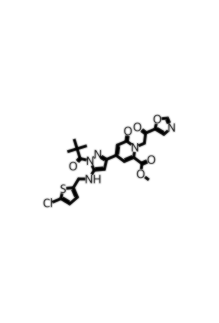 COC(=O)c1cc(-c2cc(NCc3ccc(Cl)s3)n(C(=O)C(C)(C)C)n2)cc(=O)n1CC(=O)c1cnco1